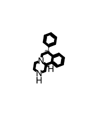 c1ccc([C@H]2CN3CCNC[C@@H]3c3ccccc32)cc1